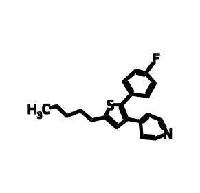 CCCCCc1cc(-c2ccncc2)c(-c2ccc(F)cc2)s1